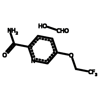 NC(=O)c1ccc(OCC(F)(F)F)cn1.O=CO